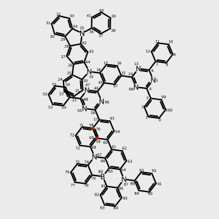 c1ccc(-c2nc(-c3ccccc3)nc(-c3ccc(-n4c5ccccc5c5cc6c7ccccc7n(-c7ccccc7)c6cc54)c(-c4nc(-c5ccccc5)nc(-c5ccc(-c6ccc7c8c6N(c6ccccc6)c6ccccc6B8c6ccccc6N7c6ccccc6)cc5)n4)c3)n2)cc1